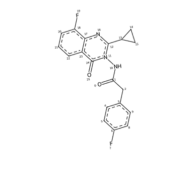 O=C(Cc1ccc(F)cc1)Nn1c(C2CC2)nc2c(F)cccc2c1=O